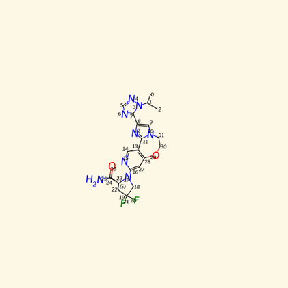 CC(C)n1ncnc1-c1cn2c(n1)-c1cnc(N3CC(F)(F)C[C@H]3C(N)=O)cc1OCC2